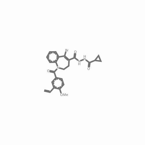 C=Cc1cc(C(=O)N2CCC(C(=O)NNC(=O)C3CC3)=C(Br)c3ccccc32)ccc1OC